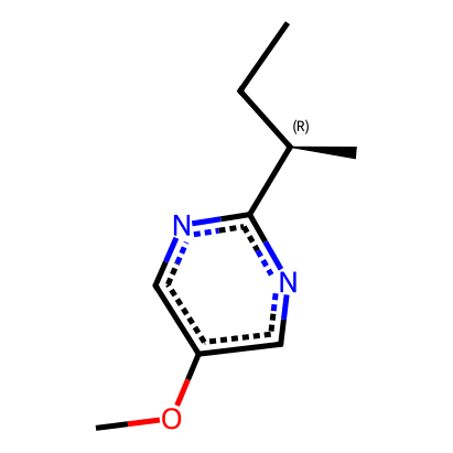 CC[C@@H](C)c1ncc(OC)cn1